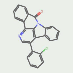 O=c1c2ccccc2c2ncc(-c3ccccc3Cl)c3c4ccccc4n1c23